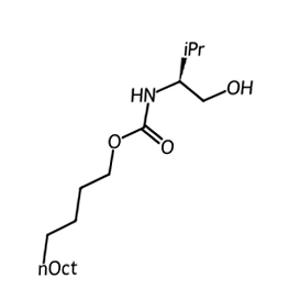 CCCCCCCCCCCCOC(=O)N[C@H](CO)C(C)C